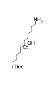 CCCCCCCCCCCCCCCCCCCCCCN.CCO